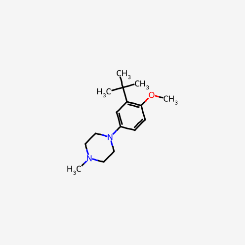 COc1ccc(N2CCN(C)CC2)cc1C(C)(C)C